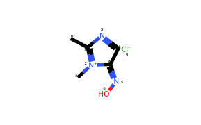 CC1=[N+](C)C(=NO)C=N1.[Cl-]